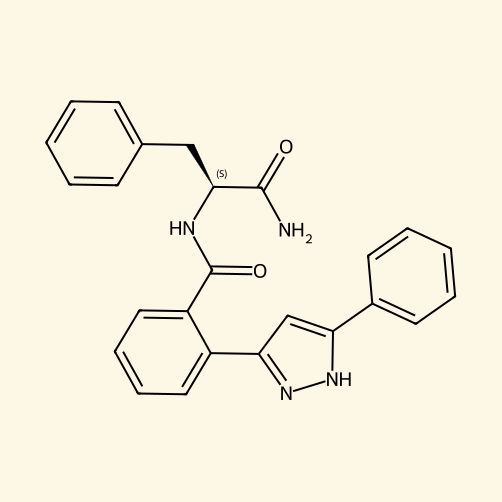 NC(=O)[C@H](Cc1ccccc1)NC(=O)c1ccccc1-c1cc(-c2ccccc2)[nH]n1